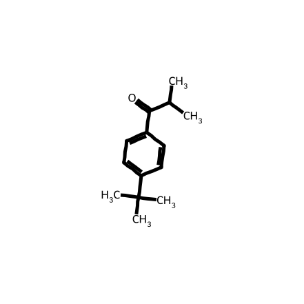 CC(C)C(=O)c1ccc(C(C)(C)C)cc1